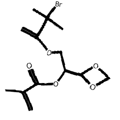 C=C(C)C(=O)OC(COC(=C)C(C)(C)Br)C1OCO1